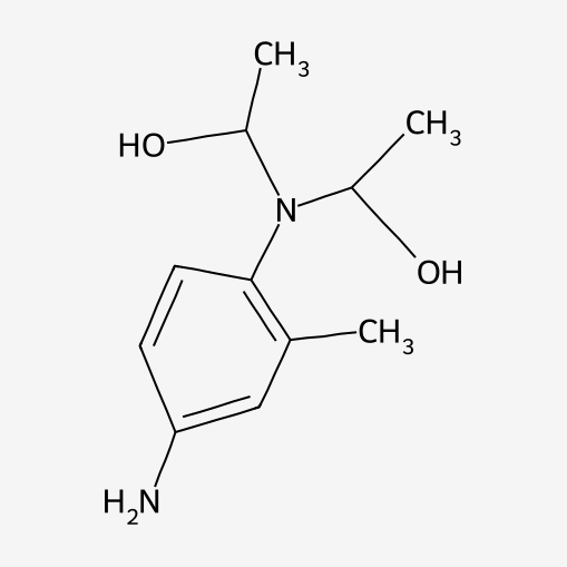 Cc1cc(N)ccc1N(C(C)O)C(C)O